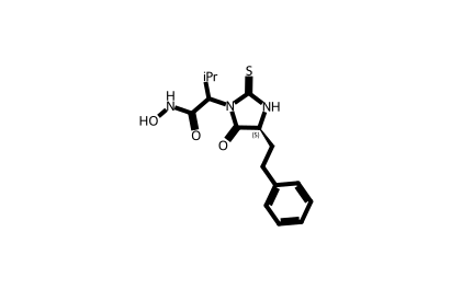 CC(C)C(C(=O)NO)N1C(=O)[C@H](CCc2ccccc2)NC1=S